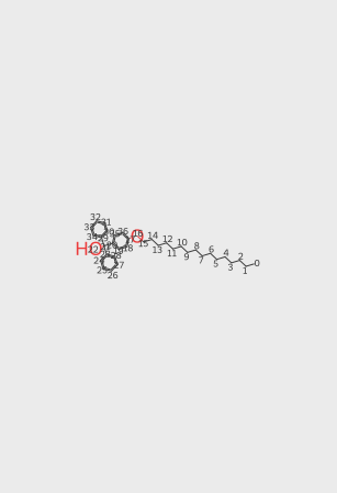 CCCCCCCCCCCCCCCCOc1ccc(C(O)(c2ccccc2)c2ccccc2)cc1